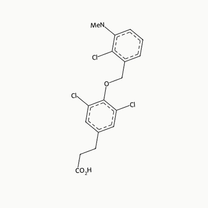 CNc1cccc(COc2c(Cl)cc(CCC(=O)O)cc2Cl)c1Cl